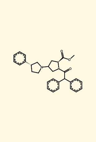 COC(=O)[C@@H]1CC(N2CC[C@H](c3ccccc3)C2)CN1C(=O)C(c1ccccc1)c1ccccc1